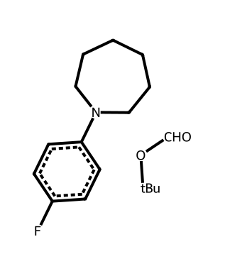 CC(C)(C)OC=O.Fc1ccc(N2CCCCCC2)cc1